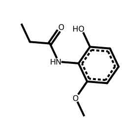 CCC(=O)Nc1c(O)cccc1OC